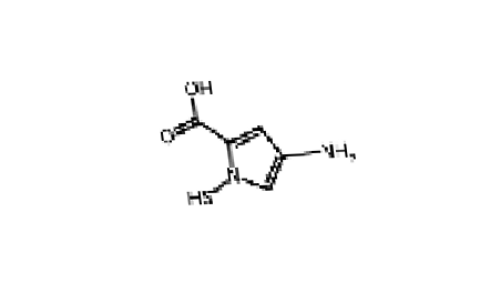 Nc1cc(C(=O)O)n(S)c1